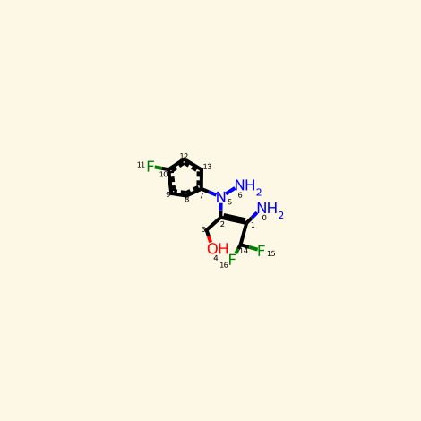 N/C(=C(/CO)N(N)c1ccc(F)cc1)C(F)F